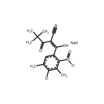 Cc1cc(C(O)=C(C#N)C(=O)C(C)(C)C)c([N+](=O)[O-])c(C)c1Cl.[NaH]